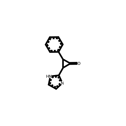 O=C1C(c2ccccc2)C1c1ncc[nH]1